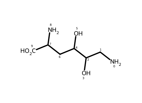 NCC(O)C(O)CC(N)C(=O)O